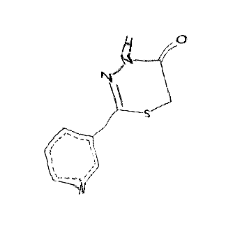 O=C1CSC(c2cccnc2)=NN1